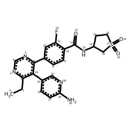 CCc1ncnc(-c2ccc(C(=O)NC3CCS(=O)(=O)C3)c(F)c2)c1-c1ccc(N)nc1